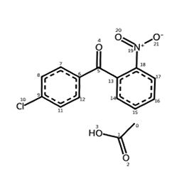 CC(=O)O.O=C(c1ccc(Cl)cc1)c1ccccc1[N+](=O)[O-]